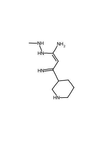 CNN/C(N)=C\C(=N)C1CCCNC1